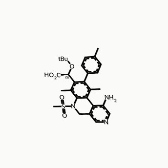 Cc1ccc(-c2c(C)c3c(c(C)c2[C@H](OC(C)(C)C)C(=O)O)N(S(C)(=O)=O)Cc2cncc(N)c2-3)cc1